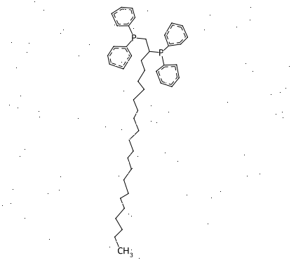 CCCCCCCCCCCCCCCCCCCCC(CP(c1ccccc1)c1ccccc1)P(c1ccccc1)c1ccccc1